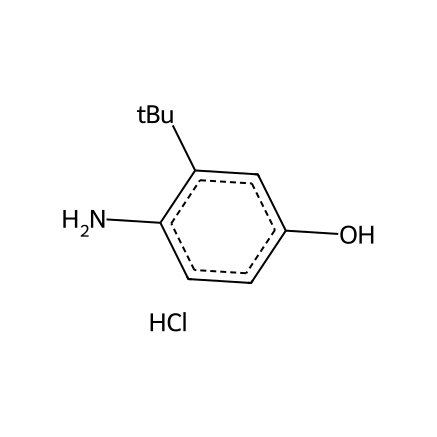 CC(C)(C)c1cc(O)ccc1N.Cl